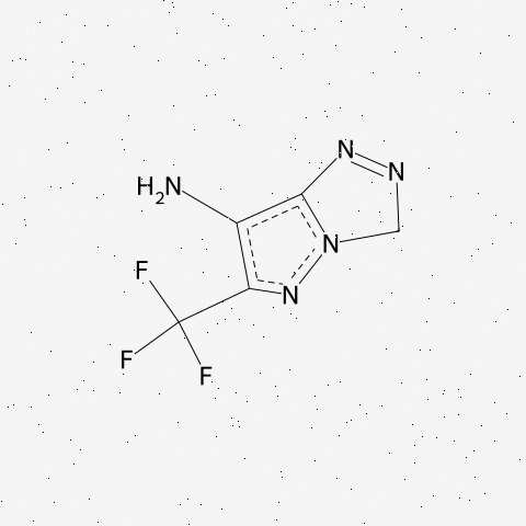 Nc1c(C(F)(F)F)nn2c1N=NC2